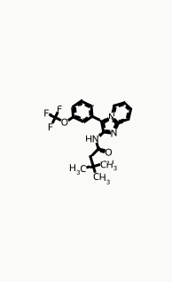 CC(C)(C)CC(=O)Nc1nc2ccccn2c1-c1cccc(OC(F)(F)F)c1